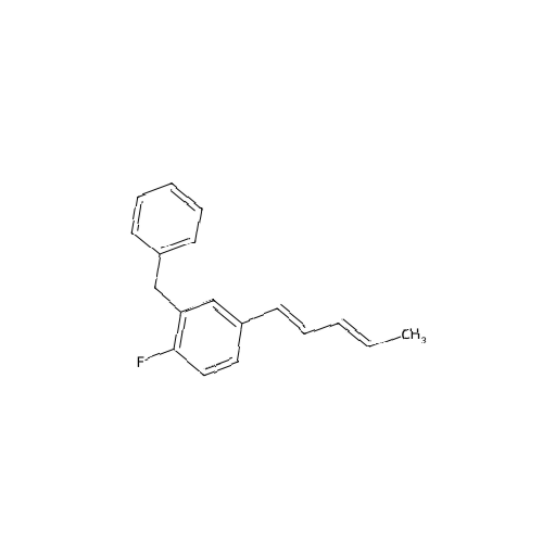 CC=CC=Cc1ccc(F)c(Cc2ccccc2)c1